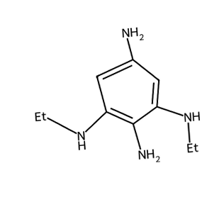 CCNc1cc(N)cc(NCC)c1N